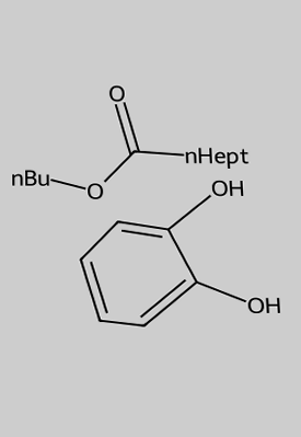 CCCCCCCC(=O)OCCCC.Oc1ccccc1O